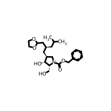 CC(C)C[C@H](CC1OCCO1)C[C@H]1CN(C(=O)OCc2ccccc2)[C@H](CO)[C@@H]1O